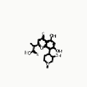 CC(C(O)=S)c1cc(=O)c2c(O)cc(O)c(C3CCN(C)CC3O)c2o1